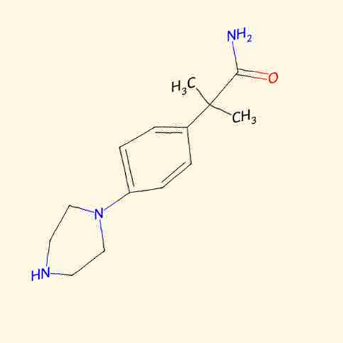 CC(C)(C(N)=O)c1ccc(N2CCNCC2)cc1